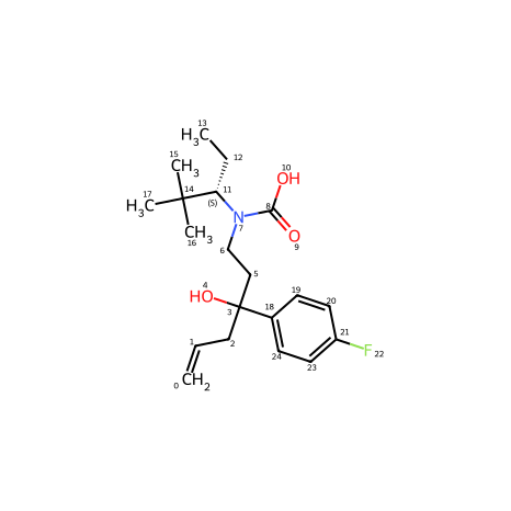 C=CCC(O)(CCN(C(=O)O)[C@@H](CC)C(C)(C)C)c1ccc(F)cc1